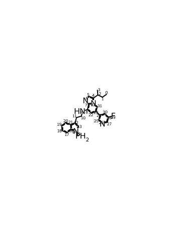 CCC(C)c1cnc2c(NCCc3cn(P)c4ccccc34)cc(-c3cncc(F)c3)cn12